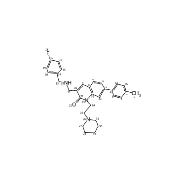 Cc1ccc(-c2ccc3cc(CNCc4ccc(F)cc4)c(=O)n(CCN4CCCCC4)c3c2)cc1